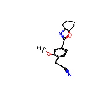 COc1cc(-c2nc3c(o2)CCCC3)ccc1CC#N